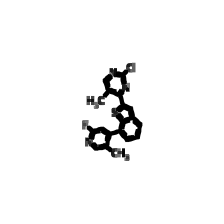 Cc1cnc(F)cc1-c1cccc2cc(-c3nc(Cl)ncc3C)sc12